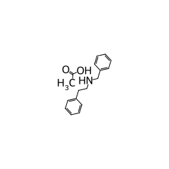 CC(=O)O.c1ccc(CCNCc2ccccc2)cc1